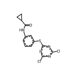 O=C(Nc1cccc(Sc2nc(Cl)nc(Cl)n2)c1)C1CC1